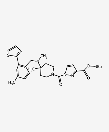 Cc1ccc(CN(C)C2(C)CCN(C(=O)n3ccc(C(=O)OC(C)(C)C)n3)CC2)c(-c2nccs2)c1